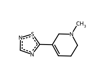 CN1CCC=C(c2ncns2)C1